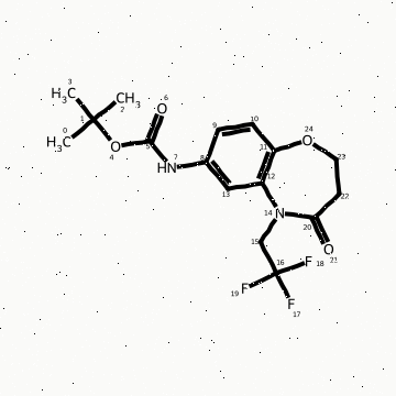 CC(C)(C)OC(=O)Nc1ccc2c(c1)N(CC(F)(F)F)C(=O)CCO2